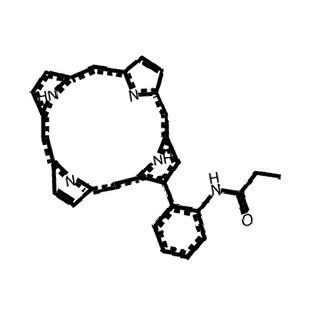 CCC(=O)Nc1ccccc1-c1cc2cc3nc(cc4ccc(cc5nc(cc1[nH]2)C=C5)[nH]4)C=C3